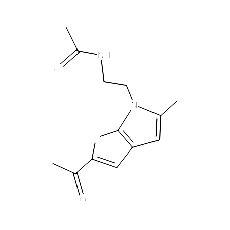 CC(=O)NCCn1c(C)cc2cc(C(C)=O)sc21